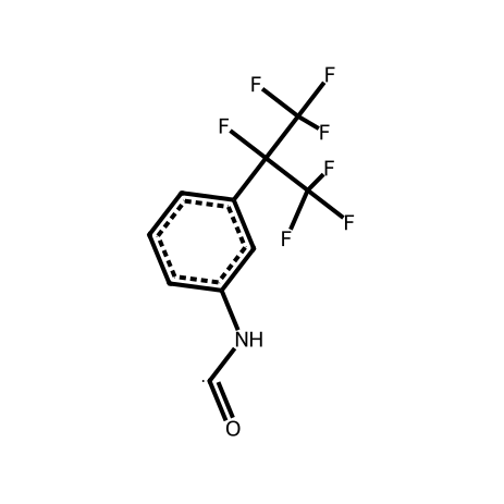 O=[C]Nc1cccc(C(F)(C(F)(F)F)C(F)(F)F)c1